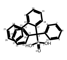 O=P(O)(O)C(c1ccccc1)(c1ccccc1)c1ccccc1-c1ccccc1